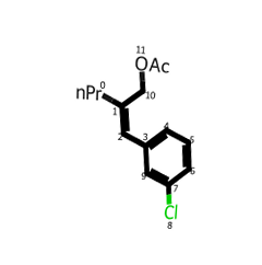 CCCC(=Cc1cccc(Cl)c1)COC(C)=O